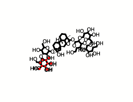 C[C@@]1(C(=O)OC2OC(CO)C(O)C(OC3OC(CO)C(O)C(O)C3O)C2OC2OC(CO)C(O)C(O)C2O)CCC[C@]2(C)C1CC[C@@]13C[C@@](OC4OC(CO)C(O)C(OC5OC(CO)C(O)C(O)C5O)C4OC4OC(CO)C(O)C(O)C4O)(CC[C@H]12)[C@](C)(O)C3